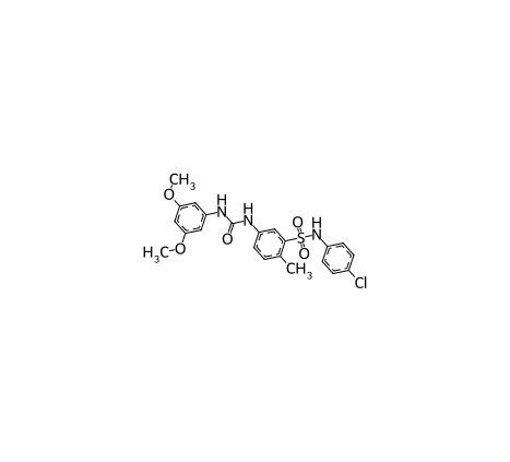 COc1cc(NC(=O)Nc2ccc(C)c(S(=O)(=O)Nc3ccc(Cl)cc3)c2)cc(OC)c1